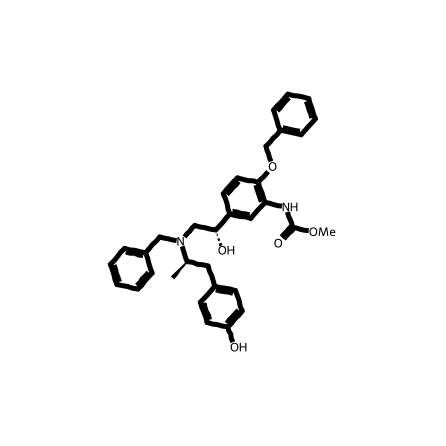 COC(=O)Nc1cc([C@H](O)CN(Cc2ccccc2)[C@H](C)Cc2ccc(O)cc2)ccc1OCc1ccccc1